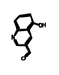 O=Cc1cnc2cccc(O)c2c1